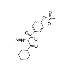 CS(=O)(=O)Oc1ccc(S(=O)(=O)C(=[N+]=[N-])C(=O)C2CCCCC2)cc1